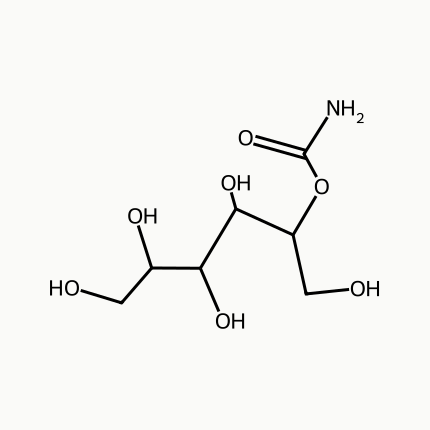 NC(=O)OC(CO)C(O)C(O)C(O)CO